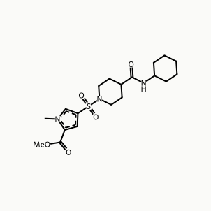 COC(=O)c1cc(S(=O)(=O)N2CCC(C(=O)NC3CCCCC3)CC2)cn1C